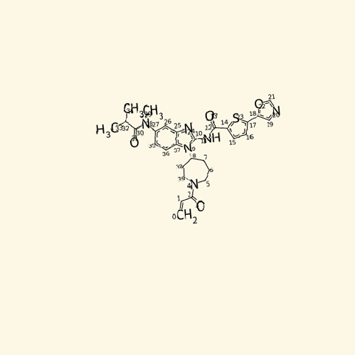 C=CC(=O)N1CCC[C@@H](n2c(NC(=O)c3ccc(-c4cnco4)s3)nc3cc(N(C)C(=O)C(C)C)ccc32)CC1